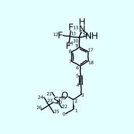 CC[C@H](CC#Cc1ccc(C2(C(F)(F)F)NN2)cc1)O[Si](C)(C)C(C)(C)C